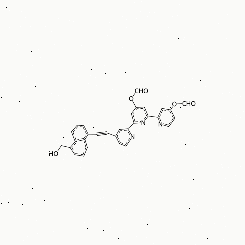 O=COc1ccnc(-c2cc(OC=O)cc(-c3cc(C#Cc4cccc5c(CO)cccc45)ccn3)n2)c1